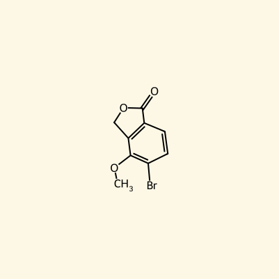 COc1c(Br)ccc2c1COC2=O